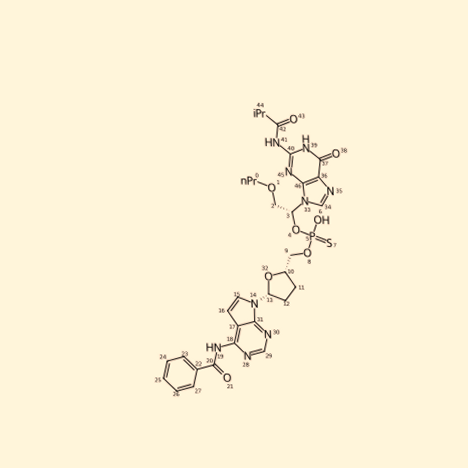 CCCOC[C@@H](OP(O)(=S)OC[C@@H]1CC[C@H](n2ccc3c(NC(=O)c4ccccc4)ncnc32)O1)n1cnc2c(=O)[nH]c(NC(=O)C(C)C)nc21